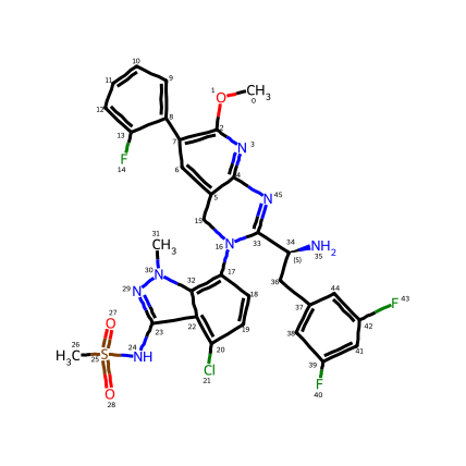 COc1nc2c(cc1-c1ccccc1F)CN(c1ccc(Cl)c3c(NS(C)(=O)=O)nn(C)c13)C([C@@H](N)Cc1cc(F)cc(F)c1)=N2